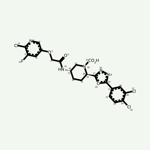 O=C(COc1cnc(Cl)c(F)c1)N[C@H]1CC[C@H](c2nnc(-c3ccc(Cl)c(Cl)c3)o2)N(C(=O)O)C1